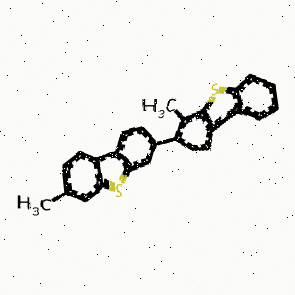 Cc1ccc2c(c1)sc1cc(-c3ccc4c(sc5ccccc54)c3C)ccc12